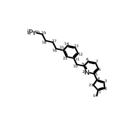 CC1=CC=C(c2cccc(Cc3cccc(CCCCC(C)C)c3)n2)C1